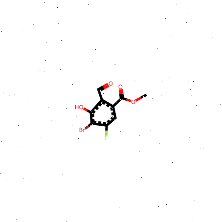 COC(=O)c1cc(F)c(Br)c(O)c1C=O